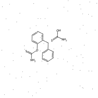 NC(=S)Oc1ccccc1Cc1ccccc1.NC(O)=S